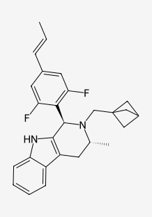 C/C=C/c1cc(F)c([C@@H]2c3[nH]c4ccccc4c3C[C@@H](C)N2CC23CC(C2)C3)c(F)c1